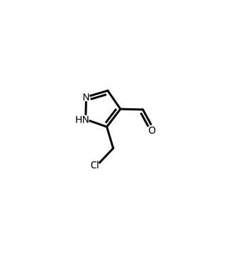 O=Cc1cn[nH]c1CCl